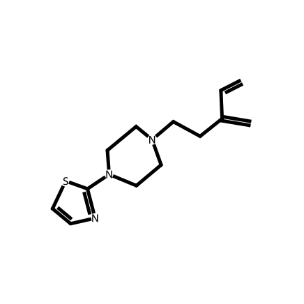 C=CC(=C)CCN1CCN(c2nccs2)CC1